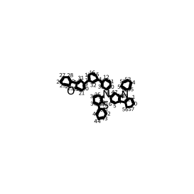 C1=Cc2c(c3ccc(N(c4cccc(-c5cccc(-c6ccc7oc8ccccc8c7c6)c5)c4)c4cccc5c4sc4ccccc45)cc3n2-c2ccccc2)CC1